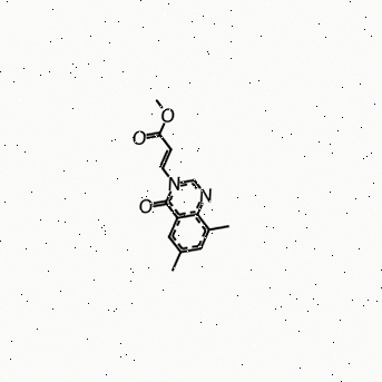 COC(=O)C=Cn1cnc2c(C)cc(C)cc2c1=O